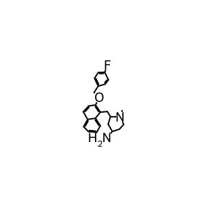 CN1CCC(N)CC1Cc1c(OCc2ccc(F)cc2)ccc2ccccc12